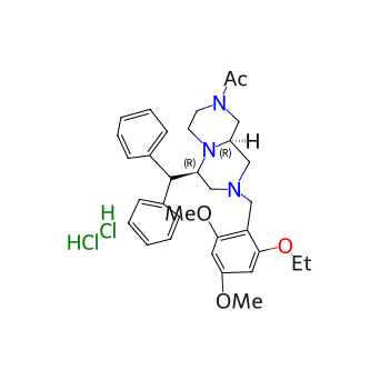 CCOc1cc(OC)cc(OC)c1CN1C[C@@H]2CN(C(C)=O)CCN2[C@H](C(c2ccccc2)c2ccccc2)C1.Cl.Cl